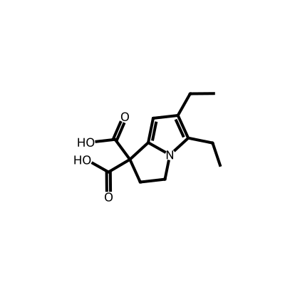 CCc1cc2n(c1CC)CCC2(C(=O)O)C(=O)O